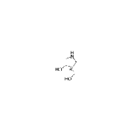 OC[C@H]1CNCC1O